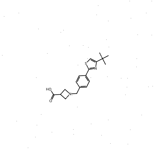 CC(C)(C)c1csc(-c2ccc(CN3CC(C(=O)O)C3)cc2)n1